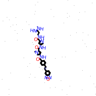 CNC(=N)CCNC(=O)c1cc(NC(=O)c2cc(NC(=O)c3ccc(/C=C/c4ccc5nonc5c4)cc3)cn2C)cn1C